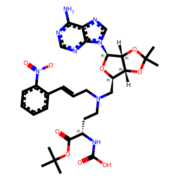 CC(C)(C)OC(=O)[C@H](CCN(CC=Cc1ccccc1[N+](=O)[O-])C[C@H]1O[C@@H](n2cnc3c(N)ncnc32)[C@@H]2OC(C)(C)O[C@@H]21)NC(=O)O